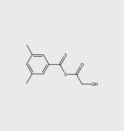 Cc1cc(C)cc(C(=S)SC(=O)CO)c1